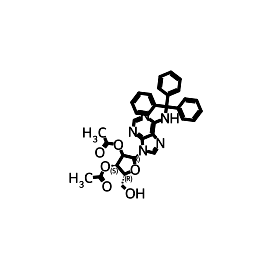 CC(=O)OC1[C@@H](OC(C)=O)[C@@H](CO)O[C@H]1n1cnc2c(NC(c3ccccc3)(c3ccccc3)c3ccccc3)ncnc21